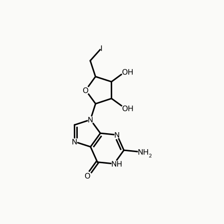 Nc1nc2c(ncn2C2OC(CI)C(O)C2O)c(=O)[nH]1